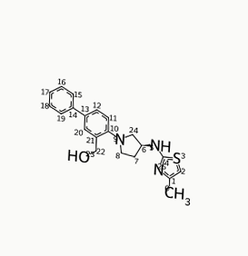 Cc1csc(N[C@H]2CCN(c3ccc(-c4ccccc4)cc3CO)C2)n1